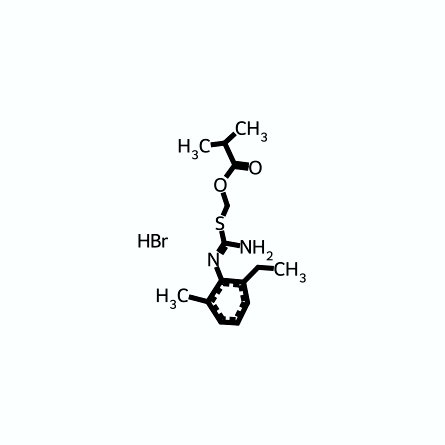 Br.CCc1cccc(C)c1/N=C(\N)SCOC(=O)C(C)C